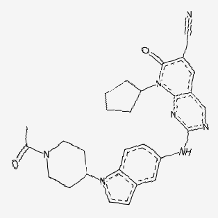 CC(=O)N1CCC(n2ccc3cc(Nc4ncc5cc(C#N)c(=O)n(C6CCCC6)c5n4)ccc32)CC1